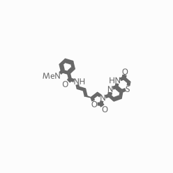 CNc1ccccc1C(=O)NCCC[C@H]1CN(c2ccc3c(n2)NC(=O)CS3)C(=O)O1